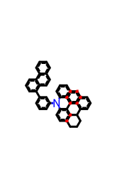 c1cc(-c2cccc3c2ccc2ccccc23)cc(N(c2ccccc2-c2cccc3cccc(C4CCCCC4)c23)c2cccc3ccccc23)c1